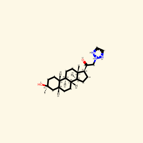 C[C@]1(O)CC[C@H]2[C@H](CC[C@@H]3[C@@H]2CC[C@]2(C)[C@@H](C(=O)Cn4nccn4)CC[C@@H]32)C1